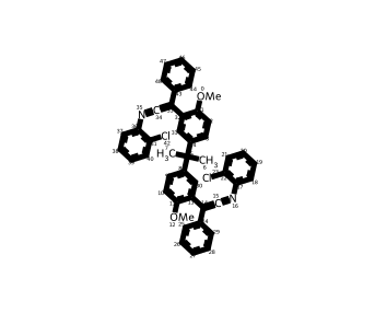 COc1ccc(C(C)(C)c2ccc(OC)c(C(=C=Nc3ccccc3Cl)c3ccccc3)c2)cc1C(=C=Nc1ccccc1Cl)c1ccccc1